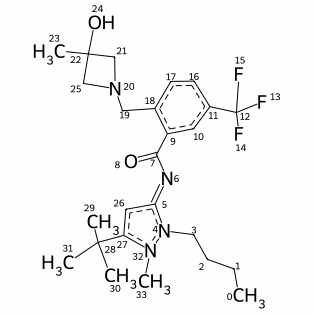 CCCCn1/c(=N/C(=O)c2cc(C(F)(F)F)ccc2CN2CC(C)(O)C2)cc(C(C)(C)C)n1C